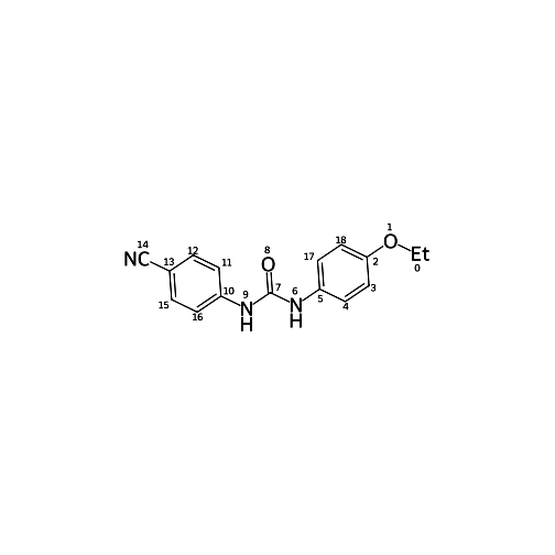 CCOc1ccc(NC(=O)Nc2ccc(C#N)cc2)cc1